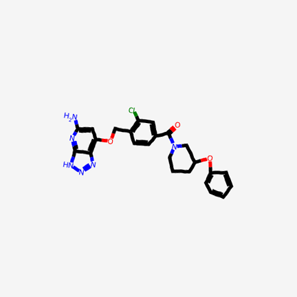 Nc1cc(OCc2ccc(C(=O)N3CCCC(Oc4ccccc4)C3)cc2Cl)c2nn[nH]c2n1